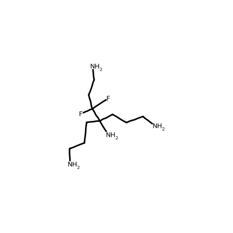 NCCCC(N)(CCCN)C(F)(F)CCN